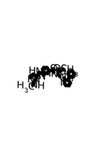 CNc1nccc(-c2nc3cc(C(=O)NC(CNc4ncccc4-c4ccccc4)C(=O)OC)ccc3[nH]2)n1